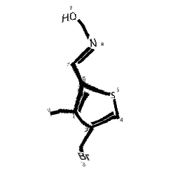 Cc1c(Br)csc1/C=N/O